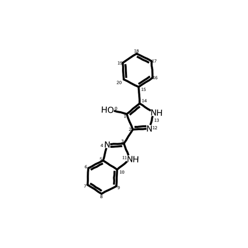 Oc1c(-c2nc3ccccc3[nH]2)n[nH]c1-c1ccccc1